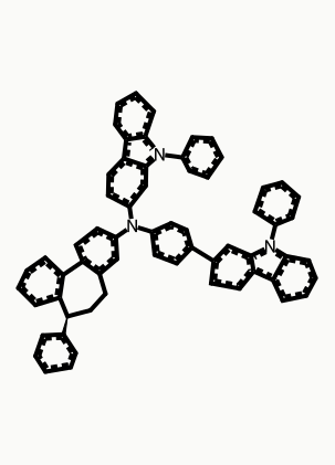 c1ccc([C@@H]2CCc3cc(N(c4ccc(-c5ccc6c7ccccc7n(-c7ccccc7)c6c5)cc4)c4ccc5c6ccccc6n(-c6ccccc6)c5c4)ccc3-c3ccccc32)cc1